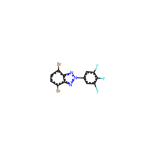 Fc1cc(-n2nc3c(Br)ccc(Br)c3n2)cc(F)c1F